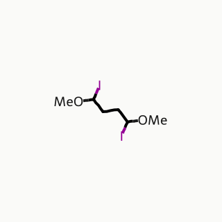 COC(I)CCC(I)OC